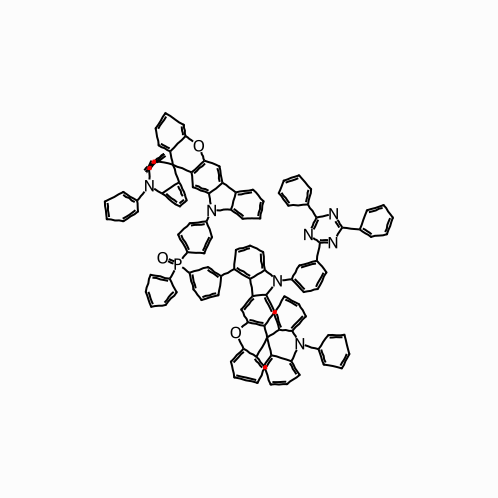 O=P(c1ccccc1)(c1ccc(-n2c3ccccc3c3cc4c(cc32)C2(c3ccccc3O4)c3ccccc3N(c3ccccc3)c3ccccc32)cc1)c1cccc(-c2cccc3c2c2cc4c(cc2n3-c2cccc(-c3nc(-c5ccccc5)nc(-c5ccccc5)n3)c2)C2(c3ccccc3O4)c3ccccc3N(c3ccccc3)c3ccccc32)c1